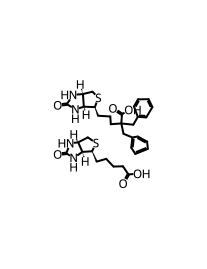 O=C(O)CCCC[C@@H]1SC[C@@H]2NC(=O)N[C@@H]21.O=C1N[C@H]2[C@H](CS[C@H]2CCCC(Cc2ccccc2)(Cc2ccccc2)C(=O)O)N1